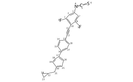 Fc1cc(N=C=S)cc(F)c1C#Cc1ccc(-c2ccc(CC3CC3)cc2)cc1